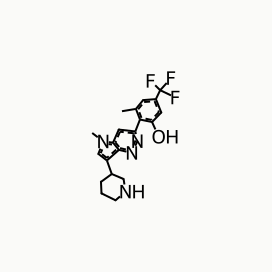 Cc1cc(C(F)(F)F)cc(O)c1-c1cc2c(nn1)c(C1CCCNC1)cn2C